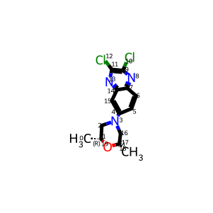 C[C@@H]1CN(c2ccc3nc(Cl)c(Cl)nc3c2)C[C@H](C)O1